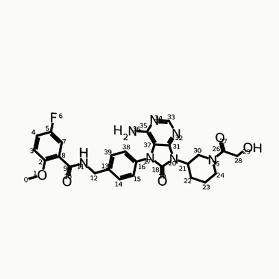 COc1ccc(F)cc1C(=O)NCc1ccc(-n2c(=O)n(C3CCCN(C(=O)CO)C3)c3ncnc(N)c32)cc1